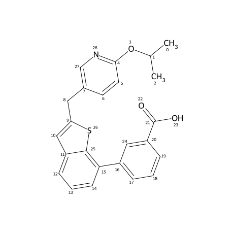 CC(C)Oc1ccc(Cc2cc3cccc(-c4cccc(C(=O)O)c4)c3s2)cn1